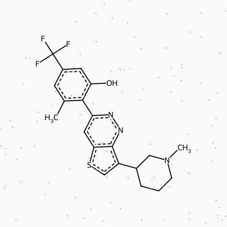 Cc1cc(C(F)(F)F)cc(O)c1-c1cc2scc(C3CCCN(C)C3)c2nn1